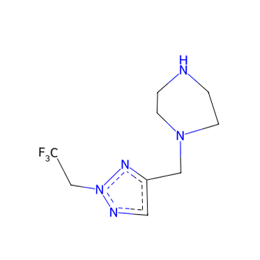 FC(F)(F)Cn1ncc(CN2CCNCC2)n1